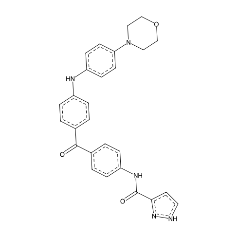 O=C(c1ccc(NC(=O)c2cc[nH]n2)cc1)c1ccc(Nc2ccc(N3CCOCC3)cc2)cc1